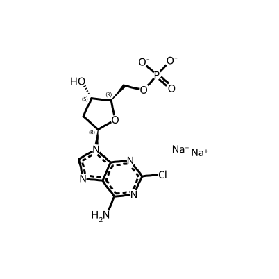 Nc1nc(Cl)nc2c1ncn2[C@H]1C[C@H](O)[C@@H](COP(=O)([O-])[O-])O1.[Na+].[Na+]